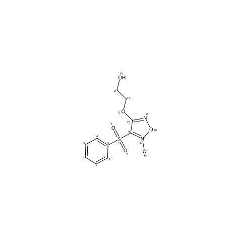 O=S(=O)(c1ccccc1)c1c(OCCO)no[n+]1[O-]